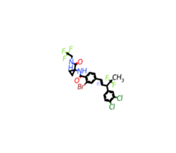 CC(F)(F)C(/C=C/c1ccc(C(=O)NC2(C(=O)NCC(F)(F)F)CC2)c(Br)c1)c1ccc(Cl)c(Cl)c1